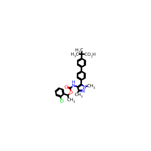 Cc1nn(C)c(-c2ccc(-c3ccc(C(C)(C)C(=O)O)cc3)cc2)c1NC(=O)OC(C)c1ccccc1Cl